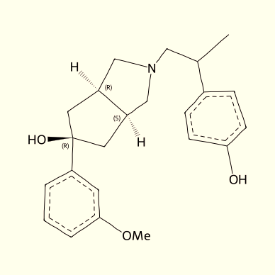 COc1cccc([C@]2(O)C[C@H]3CN(CC(C)c4ccc(O)cc4)C[C@H]3C2)c1